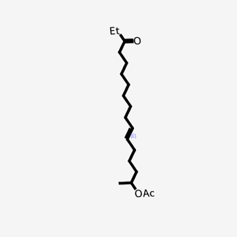 CCC(=O)CCCCCCC/C=C/CCCC(C)OC(C)=O